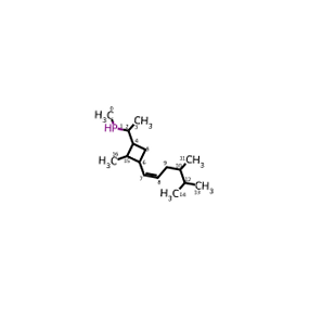 CPC(C)C1CC(/C=C\CC(C)C(C)C)C1C